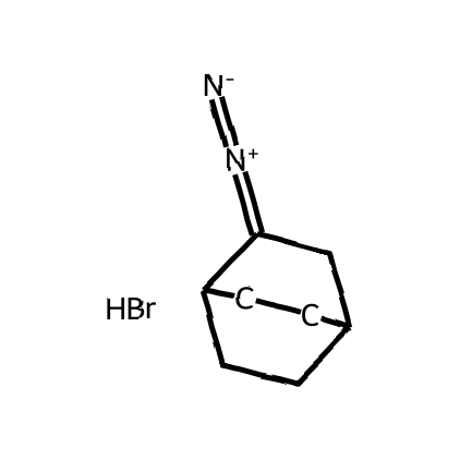 Br.[N-]=[N+]=C1CC2CCC1CC2